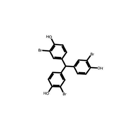 Oc1ccc(C(c2ccc(O)c(Br)c2)c2ccc(O)c(Br)c2)cc1Br